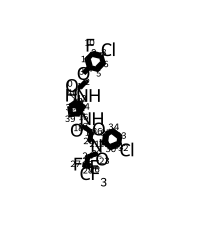 O=C(COc1ccc(Cl)c(F)c1)N[C@H]1CC2(NC(=O)C3CN(C(=O)CC(F)(F)C(F)(F)F)c4cc(Cl)ccc4O3)CC1C2